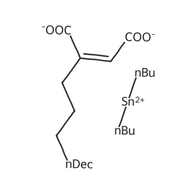 CCCCCCCCCCCCCC(=CC(=O)[O-])C(=O)[O-].CCC[CH2][Sn+2][CH2]CCC